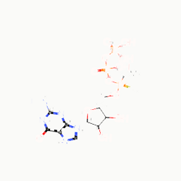 COP(=S)(OC[C@H]1O[C@@H](n2cnc3c(=O)[nH]c(N)nc32)C(O)C1O)OP(=O)(O)OP(=O)(O)O